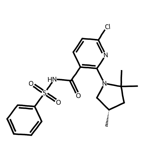 C[C@@H]1CN(c2nc(Cl)ccc2C(=O)NS(=O)(=O)c2ccccc2)C(C)(C)C1